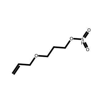 C=CCOCCCO[SH](=O)=O